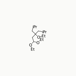 CCOC(CC(CC(C)C)(CC(C)C)OCC)OCC